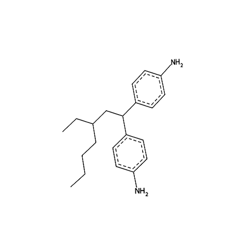 CCCCC(CC)CC(c1ccc(N)cc1)c1ccc(N)cc1